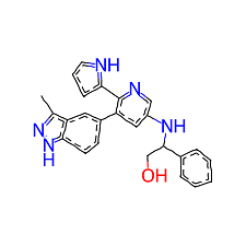 Cc1n[nH]c2ccc(-c3cc(NC(CO)c4ccccc4)cnc3-c3ccc[nH]3)cc12